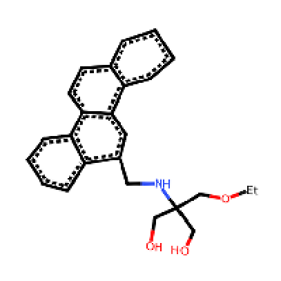 CCOCC(CO)(CO)NCc1cc2c3ccccc3ccc2c2ccccc12